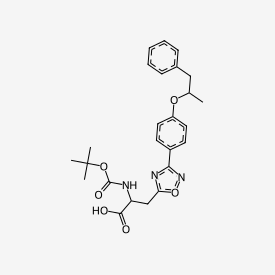 CC(Cc1ccccc1)Oc1ccc(-c2noc(CC(NC(=O)OC(C)(C)C)C(=O)O)n2)cc1